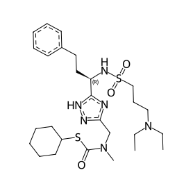 CCN(CC)CCCS(=O)(=O)N[C@H](CCc1ccccc1)c1nc(CN(C)C(=O)SC2CCCCC2)n[nH]1